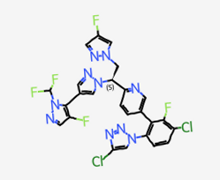 Fc1cnn(C[C@@H](c2ccc(-c3c(-n4cc(Cl)nn4)ccc(Cl)c3F)cn2)n2cc(-c3c(F)cnn3C(F)F)cn2)c1